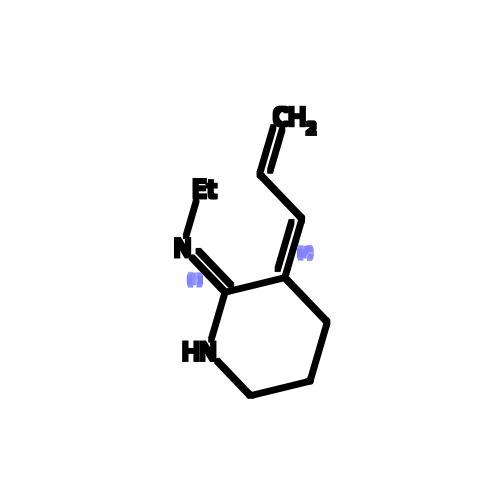 C=C/C=C1/CCCN/C1=N/CC